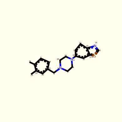 Cc1ccc(CN2CCN(c3c[c]c4ncsc4c3)CC2)cc1C